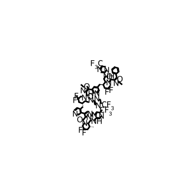 Cc1nc(C(=O)N2CC(F)(F)C[C@@H](Cc3cncc(-c4oc(C)nc4C(=O)N4CC(F)(F)C[C@@H](Cc5ccncc5-c5cn(C)nc5C(=O)N5CC(F)(F)C[C@@H](C)C5CNc5cnc(C(F)(F)F)cn5)C4CNc4cnc(C(F)(F)F)cn4)c3)C2CNc2cnc(C(F)(F)F)cn2)c(-c2ccccc2)o1